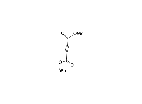 CCCCOC(=O)C#CC(=O)OC